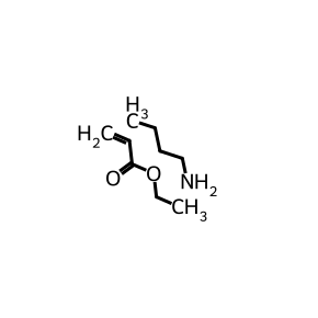 C=CC(=O)OCC.CCCCN